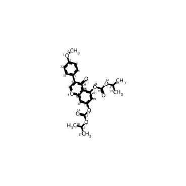 COc1ccc(-c2coc3cc(OC(=O)OC(C)C)cc(OC(=O)OC(C)C)c3c2=O)cc1